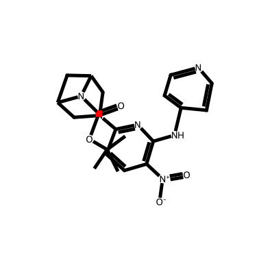 CC(C)(C)OC(=O)N1C2CC1CN(c1ccc([N+](=O)[O-])c(Nc3ccncc3)n1)C2